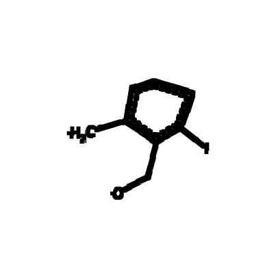 [CH2]c1cccc(I)c1C[O]